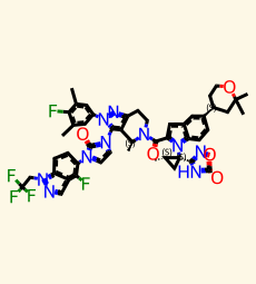 Cc1cc(-n2nc3c(c2-n2ccn(-c4ccc5c(cnn5CC(F)(F)F)c4F)c2=O)[C@H](C)N(C(=O)c2cc4cc([C@H]5CCOC(C)(C)C5)ccc4n2[C@@]2(c4noc(=O)[nH]4)C[C@@H]2C)CC3)cc(C)c1F